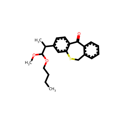 CCCCOC(OC)C(C)c1ccc2c(c1)SCc1ccccc1C2=O